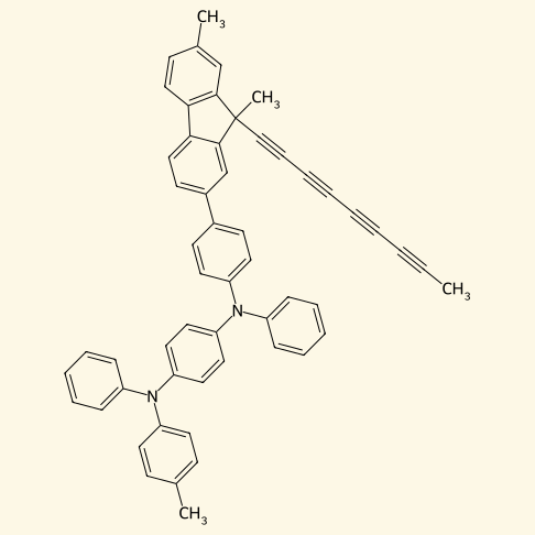 CC#CC#CC#CC#CC1(C)c2cc(C)ccc2-c2ccc(-c3ccc(N(c4ccccc4)c4ccc(N(c5ccccc5)c5ccc(C)cc5)cc4)cc3)cc21